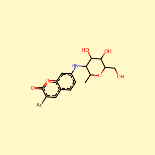 CC(=O)c1cc2ccc(NC3C(C)OC(CO)C(O)C3O)cc2oc1=O